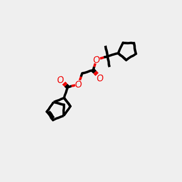 CC(C)(OC(=O)COC(=O)C1CC2C=CC1C2)C1CCCC1